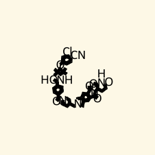 CC1(C)[C@H](NC(O)c2ccc(C(=O)N3CCC(CN4Cc5cc6c(cc5C4)C(=O)N(C4CCC(=O)NC4=O)C6=O)CC3)cc2)C(C)(C)[C@H]1Oc1ccc(C#N)c(Cl)c1